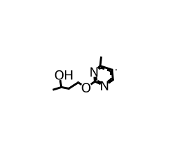 Cc1[c]cnc(OCCC(C)O)n1